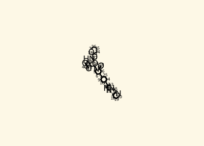 CC(CCn1ccc(-c2ccc(-c3cn(Cc4ccccn4)nn3)cc2)cc1=O)(C(=O)NOC1CCCCO1)S(C)(=O)=O